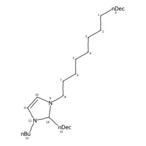 CCCCCCCCCCCCCCCCCCN1C=CN(CCCC)C1CCCCCCCCCC